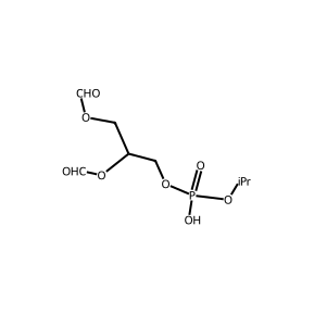 CC(C)OP(=O)(O)OCC(COC=O)OC=O